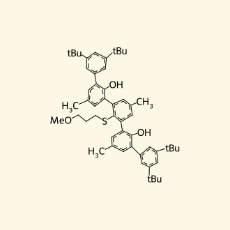 COCCCSc1c(-c2cc(C)cc(-c3cc(C(C)(C)C)cc(C(C)(C)C)c3)c2O)cc(C)cc1-c1cc(C)cc(-c2cc(C(C)(C)C)cc(C(C)(C)C)c2)c1O